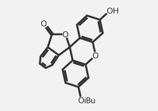 CC(C)COc1ccc2c(c1)Oc1cc(O)ccc1C21OC(=O)c2ccccc21